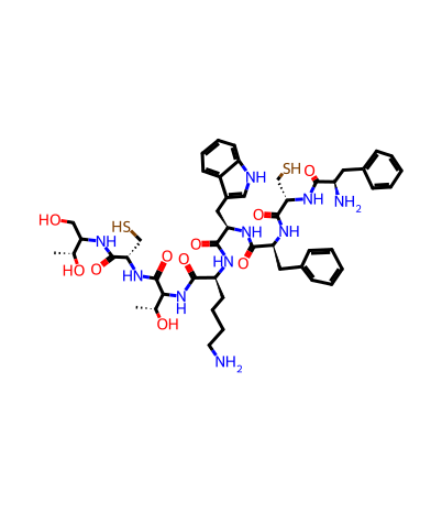 C[C@@H](O)C(CO)NC(=O)[C@H](CS)NC(=O)C(NC(=O)[C@H](CCCCN)NC(=O)[C@@H](Cc1c[nH]c2ccccc12)NC(=O)[C@H](Cc1ccccc1)NC(=O)[C@H](CS)NC(=O)[C@H](N)Cc1ccccc1)[C@@H](C)O